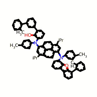 Cc1ccc(N(c2cccc(-c3cccc(-c4ccccc4C)c3)c2O)c2cc(C(C)C)c3ccc4c(N(c5ccc(C)cc5)c5cccc6c5oc5c(-c7ccccc7C)cccc56)cc(C(C)C)c5ccc2c3c54)cc1